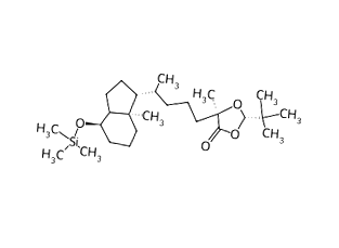 CC(CCC[C@@]1(C)O[C@H](C(C)(C)C)OC1=O)[C@H]1CCC2[C@H](O[Si](C)(C)C)CCC[C@@]21C